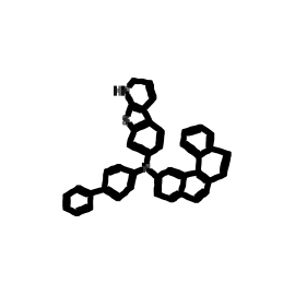 C1=Cc2c(sc3cc(N(c4ccc(-c5ccccc5)cc4)c4ccc5ccc6ccc7ccccc7c6c5c4)ccc23)NC1